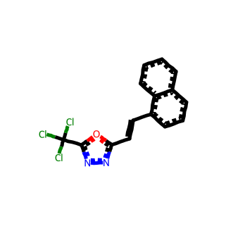 ClC(Cl)(Cl)c1nnc(/C=C/c2cccc3ccccc23)o1